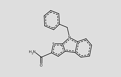 NC(=O)c1cc2c3ccccc3n(Cc3ccccc3)c2s1